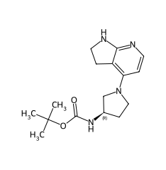 CC(C)(C)OC(=O)N[C@@H]1CCN(c2ccnc3c2CCN3)C1